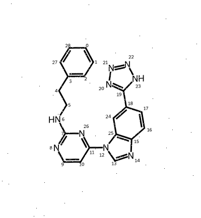 c1ccc(CCNc2nccc(-n3cnc4ccc(-c5nnn[nH]5)cc43)n2)cc1